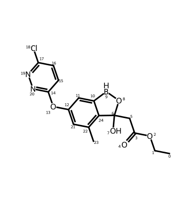 CCOC(=O)CC1(O)OBc2cc(Oc3ccc(Cl)nn3)cc(C)c21